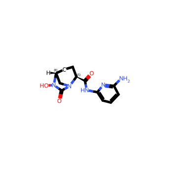 Nc1cccc(NC(=O)[C@@H]2CC[C@@H]3CN2C(=O)N3O)n1